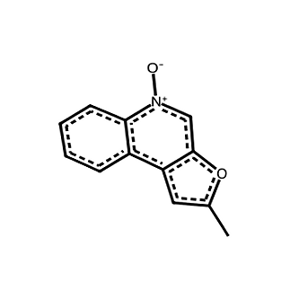 Cc1cc2c(c[n+]([O-])c3ccccc23)o1